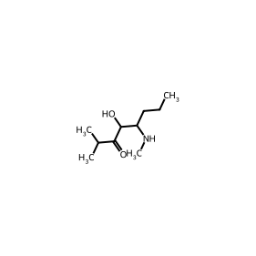 CCCC(NC)C(O)C(=O)C(C)C